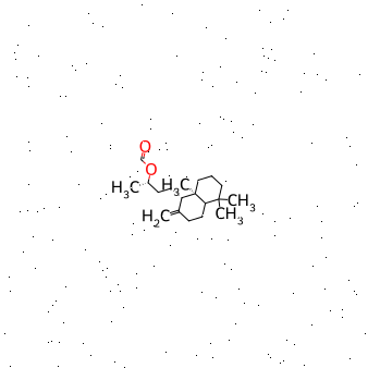 C=C1CCC2C(C)(C)CCC[C@]2(C)[C@H]1CC[C@H](C)OC=O